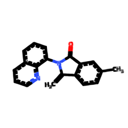 C=C1c2ccc(C)cc2C(=O)N1c1cccc2cccnc12